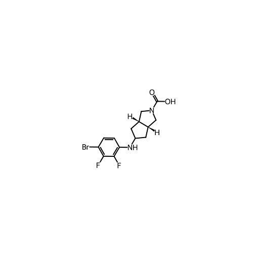 O=C(O)N1C[C@H]2CC(Nc3ccc(Br)c(F)c3F)C[C@H]2C1